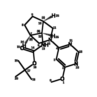 COc1cc(N2C[C@H]3CC[C@@H](C2)[C@H]3NC(=O)OC(C)(C)C)ncn1